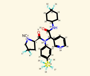 N#CN1CC(F)(F)C[C@@H]1C(=O)N(c1ccc(S(F)(F)(F)(F)F)cc1)C(C(=O)NC1CCC(F)(F)CC1)c1cccnc1